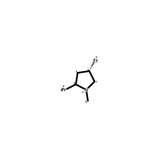 CC[C@H]1CC(C(C)C)N(C)C1